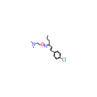 CCCC(C=Cc1ccc(Cl)cc1)=NOCCN(C)C